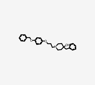 OC1(Cc2ccccc2)CCN(CCCOc2ccc(OCc3ccccc3)cc2)CC1